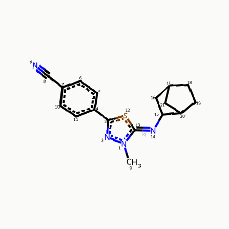 Cn1nc(-c2ccc(C#N)cc2)s/c1=N\C1CC2CCC1C2